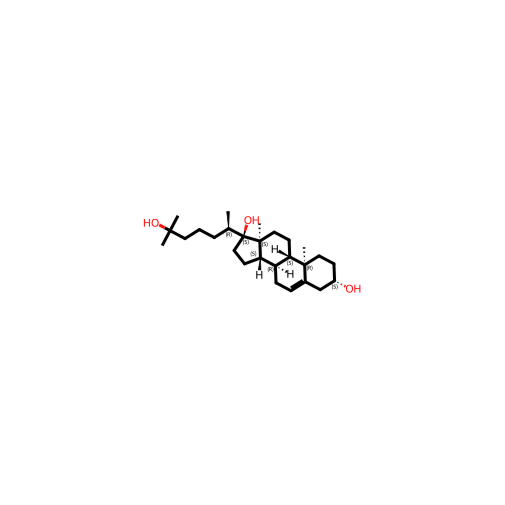 C[C@H](CCCC(C)(C)O)[C@@]1(O)CC[C@H]2[C@@H]3CC=C4C[C@@H](O)CC[C@]4(C)[C@H]3CC[C@@]21C